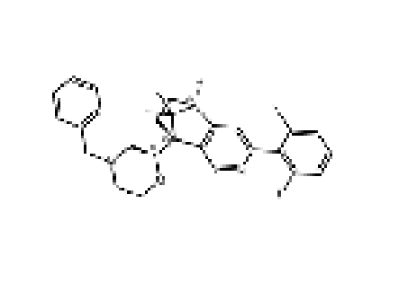 CC1(C)[C@H]2CC[C@]1([C@@H]1CN(Cc3ccccc3)CCO1)c1nnc(-c3c(F)cccc3F)cc12